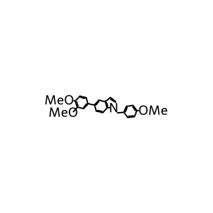 COc1ccc(Cn2ccc3cc(-c4ccc(OC)c(OC)c4)ccc32)cc1